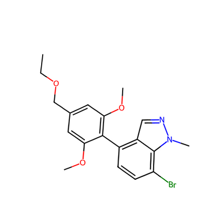 CCOCc1cc(OC)c(-c2ccc(Br)c3c2cnn3C)c(OC)c1